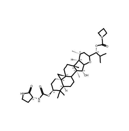 CC(C)[C@@H](OC(=O)N1CCC1)C1C[C@@H](C)[C@H]2C(O1)[C@H](O)[C@@]1(C)C3CC[C@H]4C(C)(C)[C@@H](OC(=O)N[C@@H]5CCNC5=O)CC[C@@]45C[C@@]35CC[C@]21C